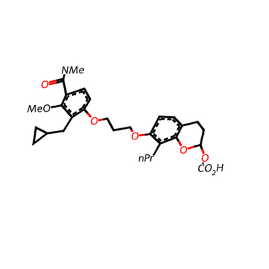 CCCc1c(OCCCOc2ccc(C(=O)NC)c(OC)c2CC2CC2)ccc2c1OC(OC(=O)O)CC2